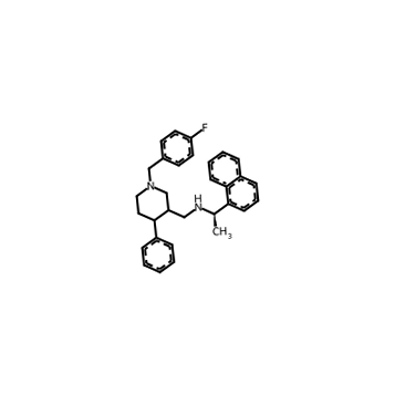 C[C@@H](NCC1CN(Cc2ccc(F)cc2)CCC1c1ccccc1)c1cccc2ccccc12